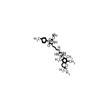 [CH2]c1ccc(NC(=O)[C@H](CCCNC(=N)NS(=O)(=O)c2c(C)c(C)c3c(c2C)CCC(C)(C)O3)NC(=O)OC(C)(C)C)cc1